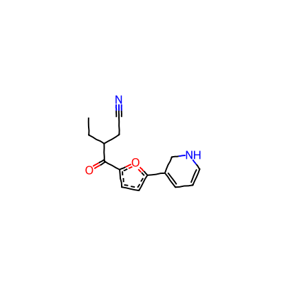 CCC(CC#N)C(=O)c1ccc(C2=CC=CNC2)o1